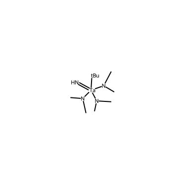 C[N](C)[Ta](=[NH])([N](C)C)([N](C)C)[C](C)(C)C